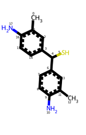 Cc1cc(C(S)c2ccc(N)c(C)c2)ccc1N